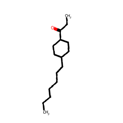 CCCCCCCC1CCC(C(=O)CC)CC1